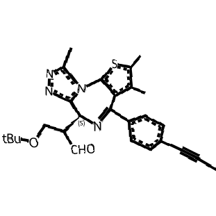 CC#Cc1ccc(C2=N[C@@H](C(C=O)COC(C)(C)C)c3nnc(C)n3-c3sc(C)c(C)c32)cc1